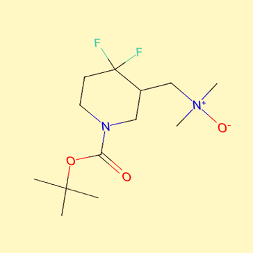 CC(C)(C)OC(=O)N1CCC(F)(F)C(C[N+](C)(C)[O-])C1